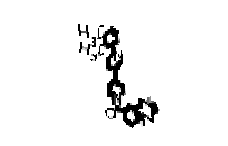 Cc1cccc(-c2ccc(C3CCN(C(=O)c4ccc5nccnc5c4)CC3)cn2)c1C